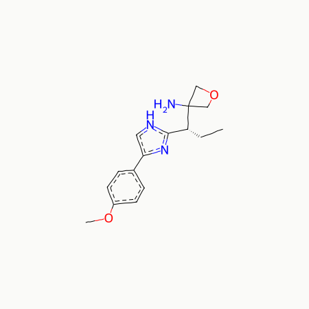 CC[C@H](c1nc(-c2ccc(OC)cc2)c[nH]1)C1(N)COC1